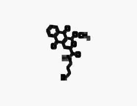 COC1OC(C(=O)NCCCBr)=CC2=C1C(=O)c1ccccc1C2=O